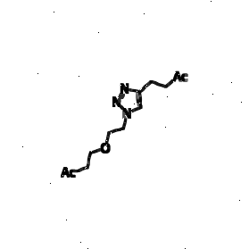 CC(=O)CCOCCn1cc(CCC(C)=O)nn1